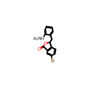 CC(=O)Nc1ccccc1CC1OC(=O)c2cc(Br)ccc21